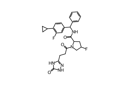 O=C(NC(c1ccccc1)c1ccc(C2CC2)c(F)c1)C1CC(F)CN1C(=O)CCc1n[nH]c(=O)[nH]1